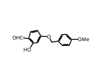 COc1ccc(COc2ccc(C=O)c(O)c2)cc1